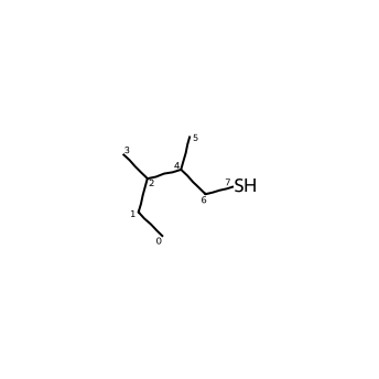 CCC(C)C(C)CS